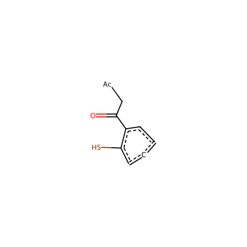 CC(=O)CC(=O)c1ccccc1S